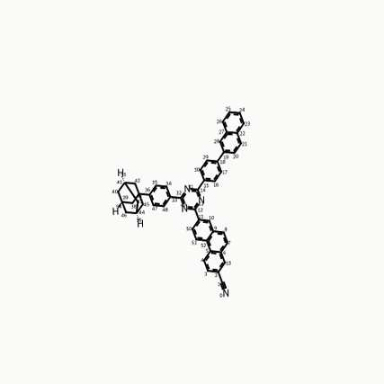 N#Cc1ccc2c(ccc3cc(-c4nc(-c5ccc(-c6ccc7ccccc7c6)cc5)nc(-c5ccc(C67C[C@H]8C[C@@H](C6)C[C@@H](C7)C8)cc5)n4)ccc32)c1